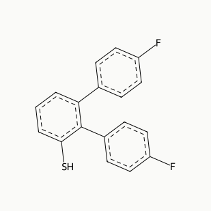 Fc1ccc(-c2cccc(S)c2-c2ccc(F)cc2)cc1